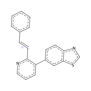 C(=C\c1ncccc1-c1ccc2ncsc2c1)/c1ccccc1